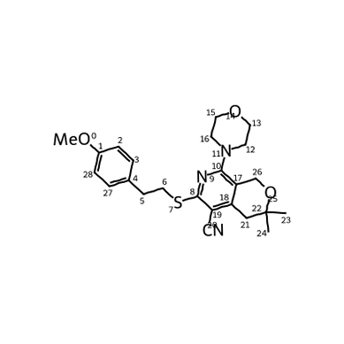 COc1ccc(CCSc2nc(N3CCOCC3)c3c(c2C#N)CC(C)(C)OC3)cc1